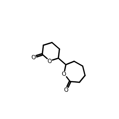 O=C1CCCCC(C2CCCC(=O)O2)O1